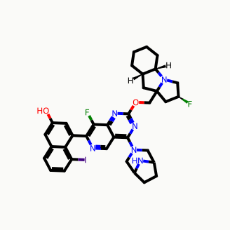 Oc1cc(-c2ncc3c(N4CC5CCC(C4)N5)nc(OCC45C[C@H](F)CN4[C@H]4CCCC[C@H]4C5)nc3c2F)c2c(I)cccc2c1